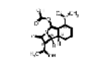 CC(O)[C@H]1C(=O)N2C(OC(=O)O)=C3[C@H](CCC[C@@H]3[S+](C)[O-])[C@H]12